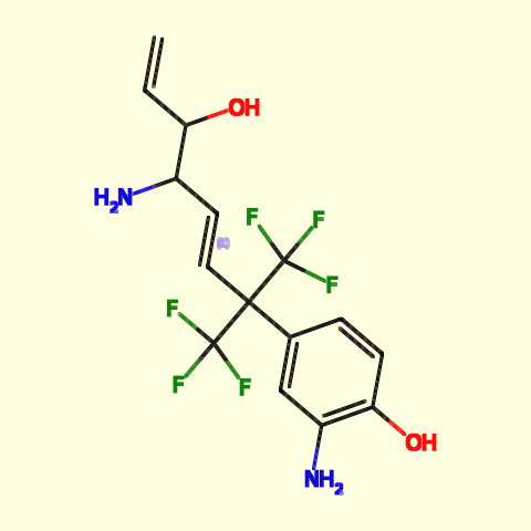 C=CC(O)C(N)/C=C/C(c1ccc(O)c(N)c1)(C(F)(F)F)C(F)(F)F